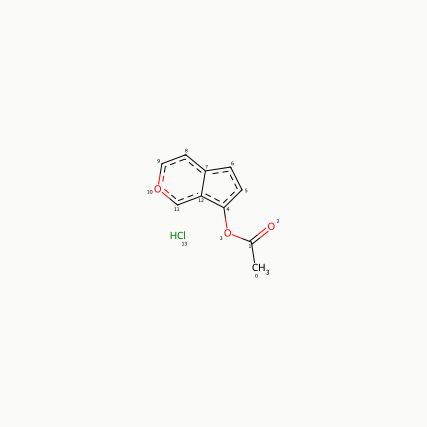 CC(=O)Oc1ccc2ccocc1-2.Cl